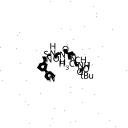 CC(C)(C)OC(=O)NCC(C)(C)n1ccc(C(=O)NCC(=O)Nc2nc(-c3cccc(-c4ccncc4)c3)cs2)c1